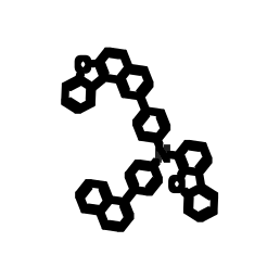 c1ccc2c(-c3ccc(N(c4ccc(-c5ccc6ccc7oc8ccccc8c7c6c5)cc4)c4cccc5c4oc4ccccc45)cc3)cccc2c1